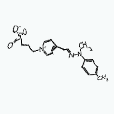 Cc1ccc(N(C)/N=C/c2cc[n+](CCCS(=O)(=O)[O-])cc2)cc1